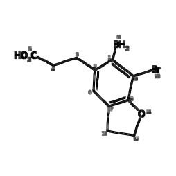 Bc1c(CCC(=O)O)cc2c(c1Br)OCC2